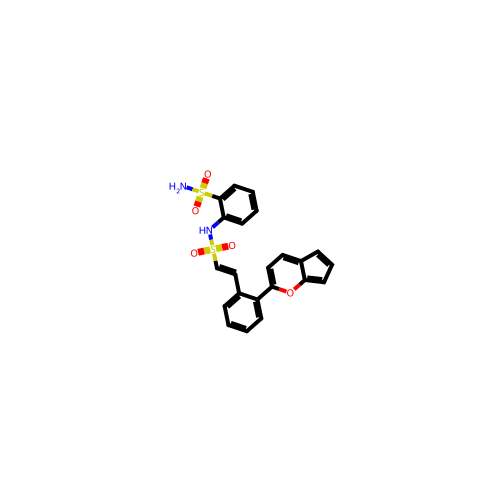 NS(=O)(=O)c1ccccc1NS(=O)(=O)C=Cc1ccccc1-c1ccc2cccc-2o1